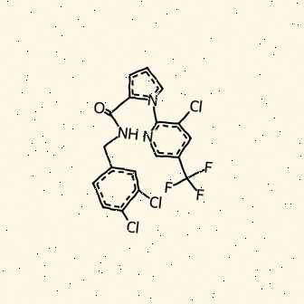 O=C(NCc1ccc(Cl)c(Cl)c1)c1cccn1-c1ncc(C(F)(F)F)cc1Cl